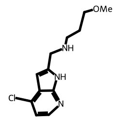 COCCCNCc1cc2c(Cl)ccnc2[nH]1